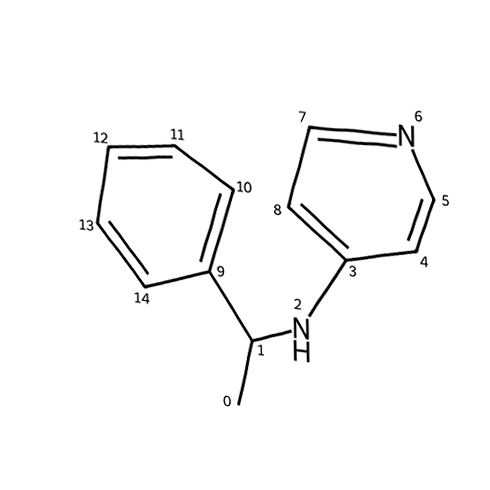 CC(Nc1ccncc1)c1ccccc1